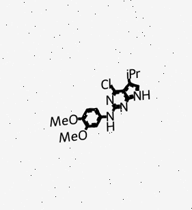 COc1ccc(Nc2nc(Cl)c3c(C(C)C)c[nH]c3n2)cc1OC